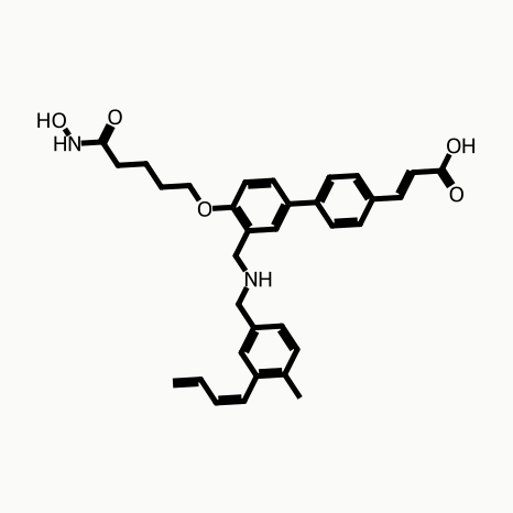 C=C/C=C\c1cc(CNCc2cc(-c3ccc(/C=C/C(=O)O)cc3)ccc2OCCCCC(=O)NO)ccc1C